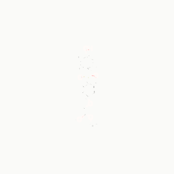 CCCOC(=O)COc1ccc(S(=O)(=O)c2ccc(O)cc2)cc1